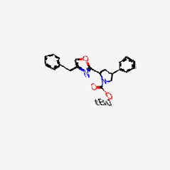 CC(C)(C)OC(=O)N1CC(c2ccccc2)CC1c1nc(Cc2ccccc2)co1